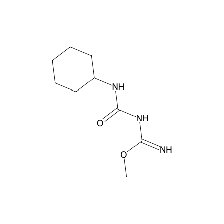 COC(=N)NC(=O)NC1CCCCC1